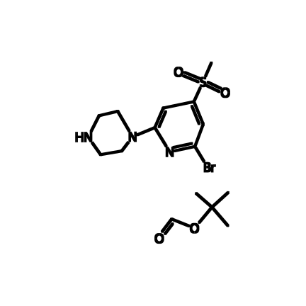 CC(C)(C)OC=O.CS(=O)(=O)c1cc(Br)nc(N2CCNCC2)c1